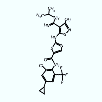 CC(C)NC(=N)c1c(O)nsc1Nc1ncc(C(=O)Nc2c(Cl)cc(C3CC3)cc2C(F)(F)F)s1